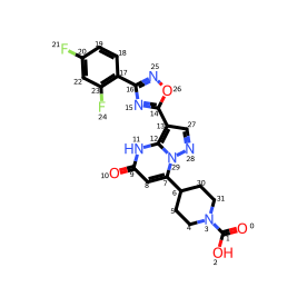 O=C(O)N1CCC(c2cc(=O)[nH]c3c(-c4nc(-c5ccc(F)cc5F)no4)cnn23)CC1